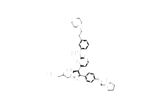 O=C(Nc1ccc(-c2nn(C[C@H](O)CO)cc2-c2ccnc(Nc3cccc(CCN4CCOCC4)c3)n2)cc1)N1CCCC1